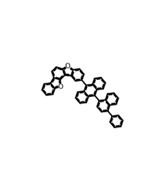 c1ccc(-c2ccc(-c3c4ccccc4c(-c4ccc5oc6ccc7c8ccccc8oc7c6c5c4)c4ccccc34)c3ccccc23)cc1